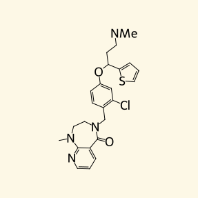 CNCCC(Oc1ccc(CN2CCN(C)c3ncccc3C2=O)c(Cl)c1)c1cccs1